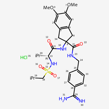 COc1cc2c(cc1OC)CC(NC(=O)[C@H](NS(=O)(=O)CC(C)C)C(C)C)(C(=O)NCc1ccc(C(=N)N)cc1)C2.Cl